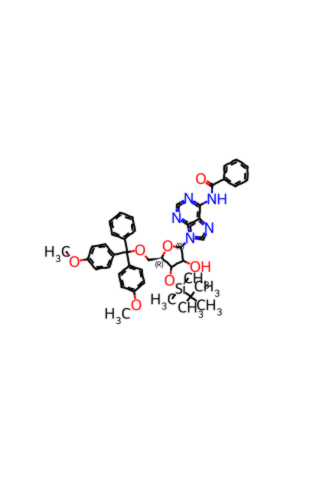 COc1ccc(C(OC[C@H]2O[C@@H](n3cnc4c(NC(=O)c5ccccc5)ncnc43)C(O)C2O[Si](C)(C)C(C)(C)C)(c2ccccc2)c2ccc(OC)cc2)cc1